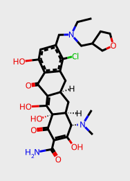 CCN(Cc1cc(O)c2c(c1Cl)C[C@H]1C[C@H]3[C@H](N(C)C)C(O)=C(C(N)=O)C(=O)[C@@]3(O)C(O)=C1C2=O)CC1CCOC1